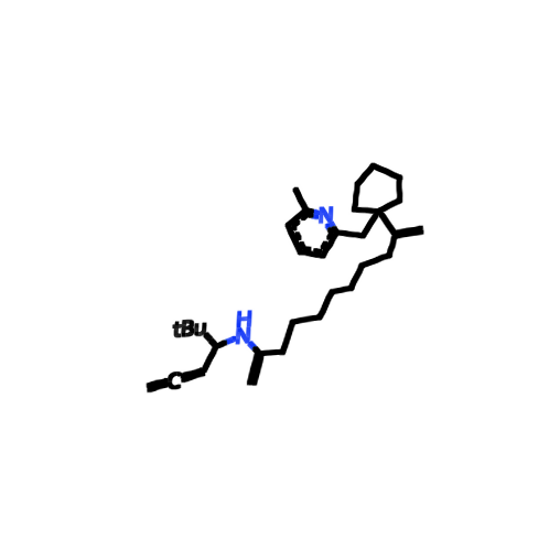 C=C=CC(NC(=C)CCCCCCCC(=C)C1(Cc2cccc(C)n2)CCCCC1)C(C)(C)C